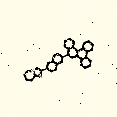 c1ccc2c(c1)c(-c1ccc3cc(-c4cn5ccccc5n4)ccc3c1)cc1c3ccccc3c3ccccc3c21